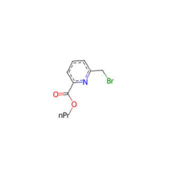 CCCOC(=O)c1cccc(CBr)n1